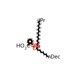 CCCCCCCCCCCCCCCCCC(=O)OCCCCCCCCCCCCCC(C)C.O=C(O)c1ccccc1O